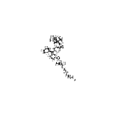 NCCOCCC(=O)NCCOc1cccc([C@H](c2ccccc2)C2CCN(C(=O)N3CC[C@@H]4OCC(=O)N[C@@H]4C3)CC2)c1